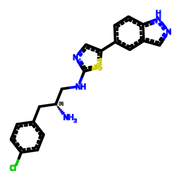 N[C@@H](CNc1ncc(-c2ccc3[nH]ncc3c2)s1)Cc1ccc(Cl)cc1